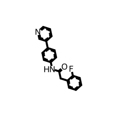 O=C(Cc1ccccc1F)Nc1ccc(-c2cccnc2)cc1